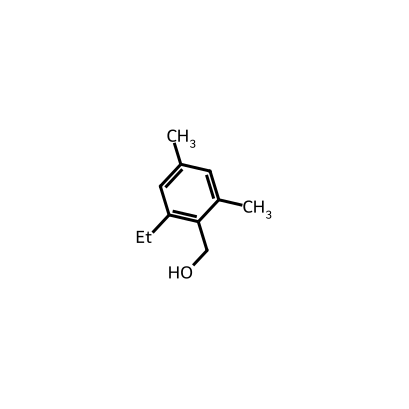 CCc1cc(C)cc(C)c1CO